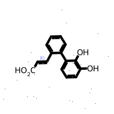 O=C(O)/C=C/c1ccccc1-c1cccc(O)c1O